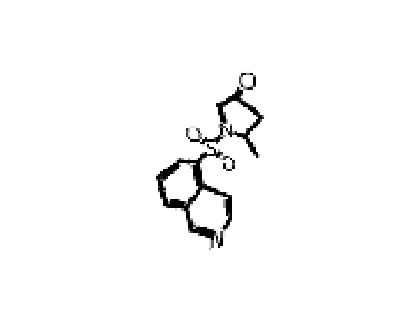 CC1CC(=O)CN1S(=O)(=O)c1cccc2cnccc12